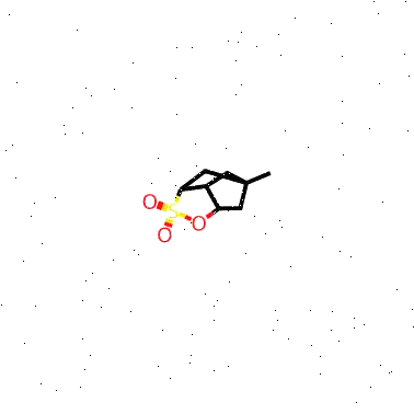 CC12CC3OS(=O)(=O)C(C1)C3C2